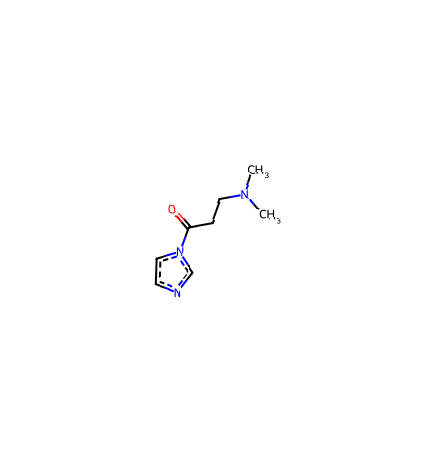 CN(C)CCC(=O)n1ccnc1